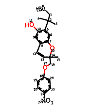 CC(C)(C)CC(C)(C)c1cc2c(cc1O)C=CC(C)(COc1ccc([N+](=O)[O-])cc1)O2